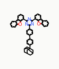 c1ccc2c(c1)oc1c(-c3nc(-c4ccc(-c5ccc(C67CC8CC(CC(C8)C6)C7)cc5)cc4)nc(-c4cccc5c4oc4ccccc45)n3)cccc12